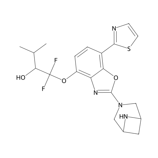 CC(C)C(O)C(F)(F)Oc1ccc(-c2nccs2)c2oc(N3CC4CC(C3)N4)nc12